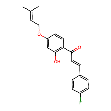 CC(C)=CCOc1ccc(C(=O)C=Cc2ccc(F)cc2)c(O)c1